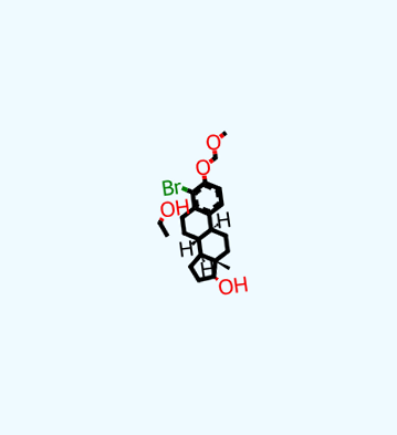 CCO.COCOc1ccc2c(c1Br)CC[C@@H]1[C@@H]2CC[C@]2(C)[C@@H](O)CC[C@@H]12